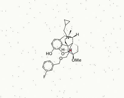 CO[C@]12CC[C@@]3(C[C@@H]1COCc1cccc(F)c1)[C@H]1Cc4ccc(O)c5c4[C@@]3(CC[N@+]1(C)CC1CC1)[C@H]2O5